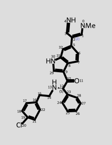 CN/C=C(\C=N)c1ccc2c(C(=O)[C@@H](NCCc3ccc(Cl)cc3)c3ccccc3)c[nH]c2c1